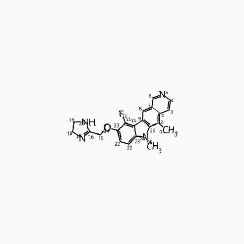 Cc1c2ccncc2cc2c3c(F)c(OCC4=NCCN4)ccc3n(C)c12